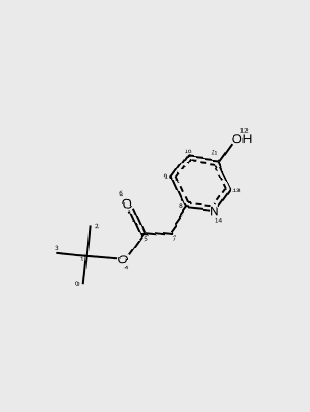 CC(C)(C)OC(=O)Cc1ccc(O)cn1